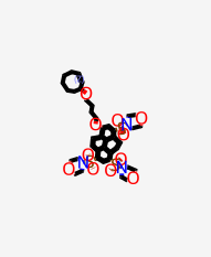 O=S(=O)(c1cc(OCCCCOC2/C=C\CCCCC2)c2ccc3c(S(=O)(=O)N4CCOCC4)cc(S(=O)(=O)N4CCOCC4)c4ccc1c2c34)N1CCOCC1